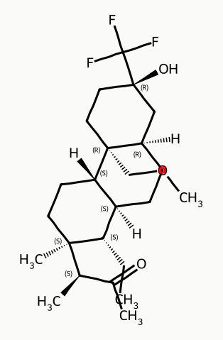 CC[C@H]1[C@@H]2CC[C@@H]3C[C@@](O)(C(F)(F)F)CC[C@]3(COC)[C@H]2CC[C@]1(C)[C@H](C)C(C)=O